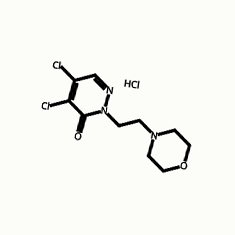 Cl.O=c1c(Cl)c(Cl)cnn1CCN1CCOCC1